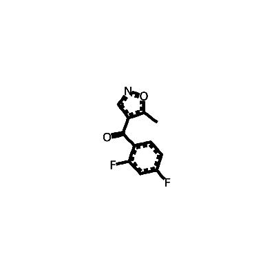 Cc1oncc1C(=O)c1ccc(F)cc1F